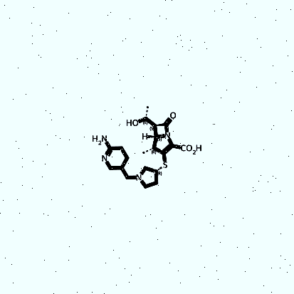 C[C@@H](O)[C@H]1C(=O)N2C(C(=O)O)=C(S[C@@H]3CCN(CC4CCC(N)=NC4)C3)[C@H](C)[C@H]12